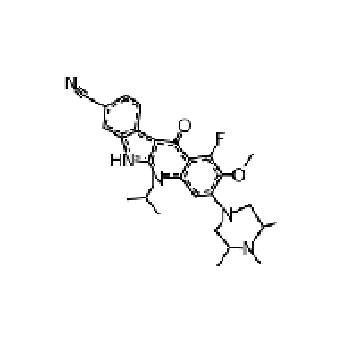 COc1c(N2CC(C)N(C)C(C)C2)cc2c(c1F)c(=O)c1c3ccc(C#N)cc3[nH]c1n2C(C)C